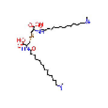 CN(C)CCCCCCCCCCCCCC(=O)NC(CSSCC(NC(=O)CCCCCCCCCCCCCN(C)C)C(=O)O)C(=O)O